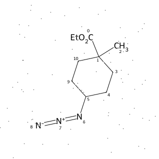 CCOC(=O)C1(C)CCC(N=[N+]=[N-])CC1